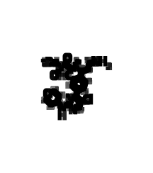 CN(CC(=O)N(C)C(C)(C)C)C(CCN)c1ccc(-c2nc(NC3CCOCC3)ncc2Cl)cc1C=O